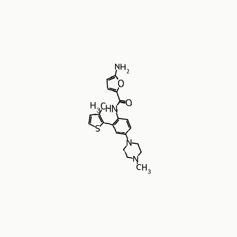 Cc1ccsc1-c1cc(N2CCN(C)CC2)ccc1NC(=O)c1ccc(N)o1